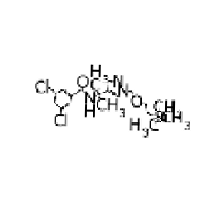 CC(C)(NC(=O)c1cc(Cl)cc(Cl)c1)c1cnn(COCC[Si](C)(C)C)c1